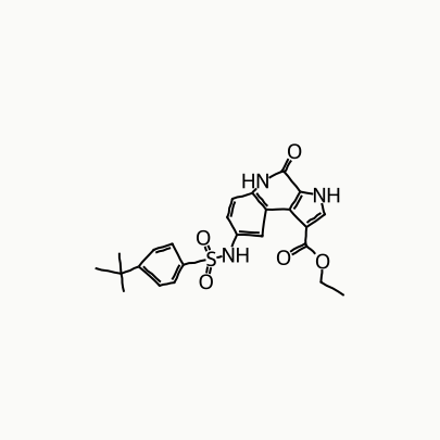 CCOC(=O)c1c[nH]c2c(=O)[nH]c3ccc(NS(=O)(=O)c4ccc(C(C)(C)C)cc4)cc3c12